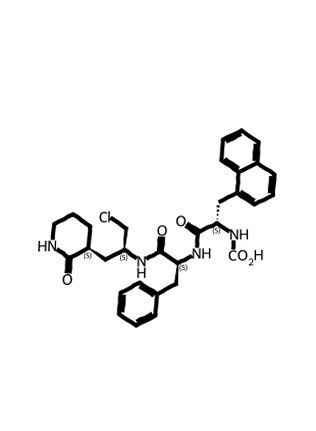 O=C(O)N[C@@H](Cc1cccc2ccccc12)C(=O)N[C@@H](Cc1ccccc1)C(=O)N[C@H](CCl)C[C@@H]1CCCNC1=O